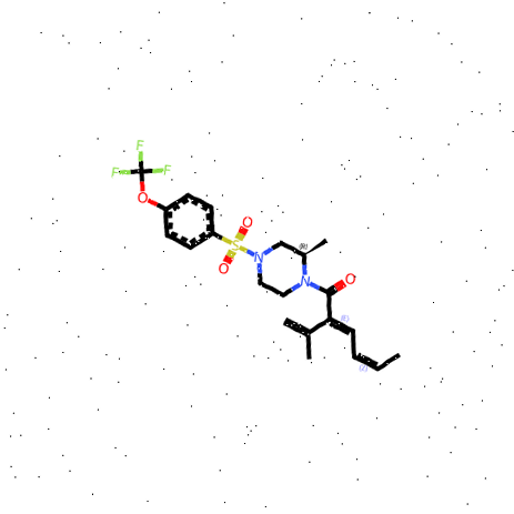 C=C(C)/C(=C\C=C/C)C(=O)N1CCN(S(=O)(=O)c2ccc(OC(F)(F)F)cc2)C[C@H]1C